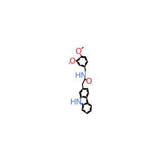 COc1ccc(CNC(=O)Cc2ccc3c(c2)[nH]c2ccccc23)cc1OC